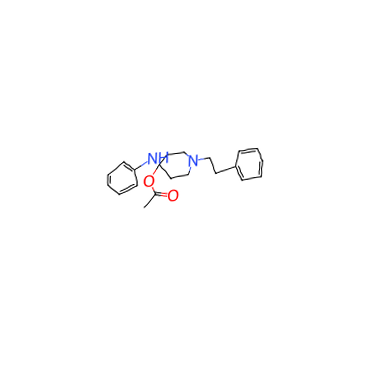 CC(=O)OC1(Nc2ccccc2)CCN(CCc2ccccc2)CC1